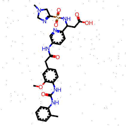 COc1cc(CC(=O)Nc2ccc(C(CC(=O)O)NS(=O)(=O)C3=NCN(C)C3)nc2)ccc1NC(=O)Nc1ccccc1C